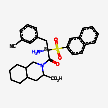 N#Cc1cccc(C[C@](N)(C(=O)N2CC3CCCCC3CC2C(=O)O)S(=O)(=O)c2ccc3ccccc3c2)c1